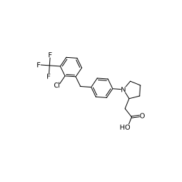 O=C(O)CC1CCCN1c1ccc(Cc2cccc(C(F)(F)F)c2Cl)cc1